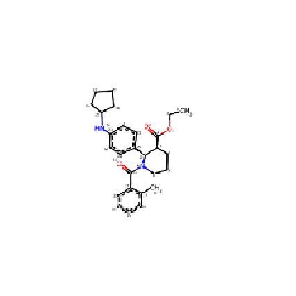 CCOC(=O)[C@H]1CCCN(C(=O)c2ccccc2C)[C@H]1c1ccc(NC2CCCC2)cc1